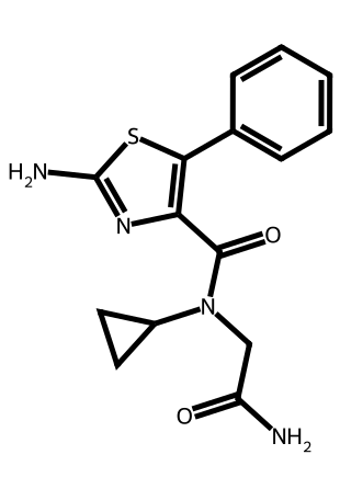 NC(=O)CN(C(=O)c1nc(N)sc1-c1ccccc1)C1CC1